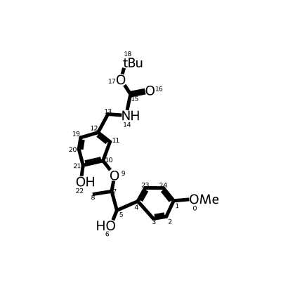 COc1ccc(C(O)C(C)Oc2cc(CNC(=O)OC(C)(C)C)ccc2O)cc1